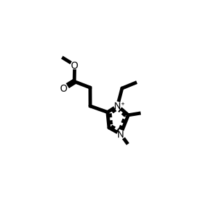 CC[n+]1c(CCC(=O)OC)cn(C)c1C